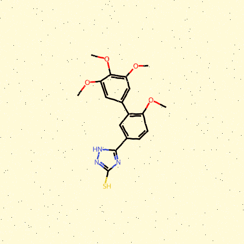 COc1ccc(-c2nc(S)n[nH]2)cc1-c1cc(OC)c(OC)c(OC)c1